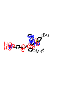 COc1ccccc1Oc1c(NS(=O)(=O)c2ccc(C(C)(C)C)cc2)nc(-c2ncccn2)nc1OCCOC(=O)c1ccc(CON(O)O)cc1